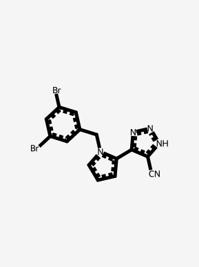 N#Cc1[nH]nnc1-c1cccn1Cc1cc(Br)cc(Br)c1